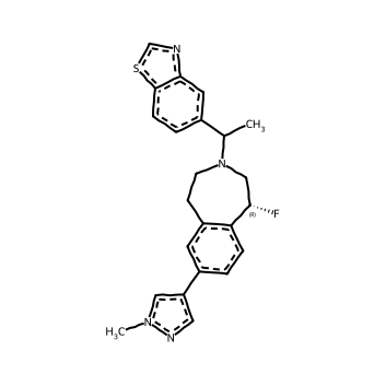 CC(c1ccc2scnc2c1)N1CCc2cc(-c3cnn(C)c3)ccc2[C@@H](F)C1